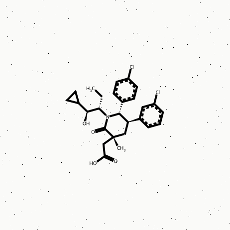 CC[C@@H]([C@@H](O)C1CC1)N1C(=O)[C@@](C)(CC(=O)O)C[C@H](c2cccc(Cl)c2)[C@H]1c1ccc(Cl)cc1